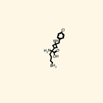 BCCCCC(N)(C(=O)O)C1CC(N)(Cc2ccc(Cl)cc2)C1